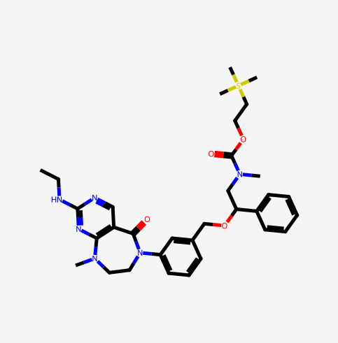 CCNc1ncc2c(n1)N(C)CCN(c1cccc(COC(CN(C)C(=O)OCCS(C)(C)C)c3ccccc3)c1)C2=O